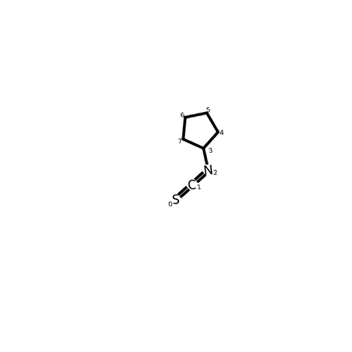 S=C=NC1CCCC1